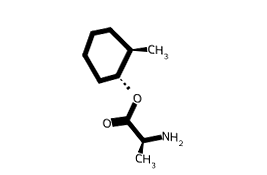 C[C@H](N)C(=O)O[C@@H]1CCCC[C@H]1C